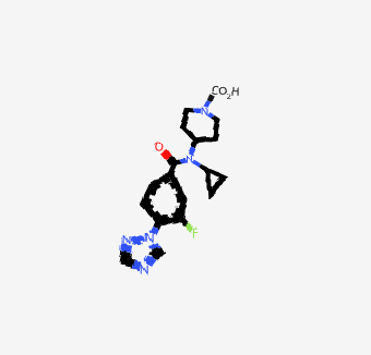 O=C(O)N1CCC(N(C(=O)c2ccc(-n3cncn3)c(F)c2)C2CC2)CC1